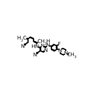 C=C(/C=C\C=C(/C)Nc1nc(Nc2ccc(N3CCN(C)CC3)c(F)c2)ncc1C#N)CC#N